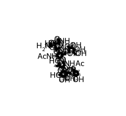 CC(=O)NC1[C@H](O[C@@H]2C(CO[C@@H]3OC(CO)[C@@H](O)[C@H](O)C3O)O[C@@H](OC3[C@@H](OC(N)=O)[C@](C)(O)C(C(N)=O)O[C@@H]3O)C(NC(C)=O)[C@H]2O)OC(C)[C@@H](O[C@@H]2OC(C(=O)NC3=C(O)CCC3=O)[C@H](O)[C@H](O)C2O)[C@@H]1O